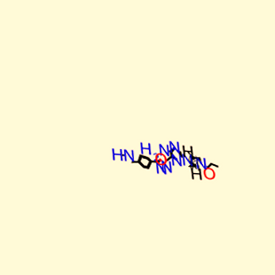 CCC(=O)N1C[C@@H]2C[C@@H]1CN2c1cnc(N)c(-c2nnc(-c3ccc(CNC)cc3)o2)n1